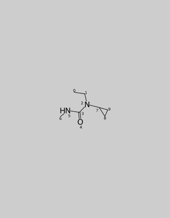 CCN(C(=O)NC)C1CC1